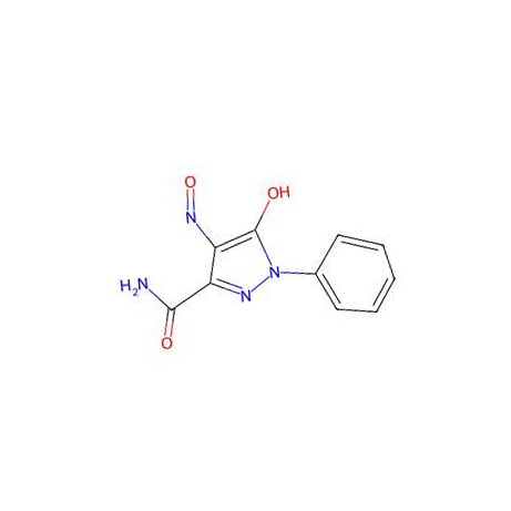 NC(=O)c1nn(-c2ccccc2)c(O)c1N=O